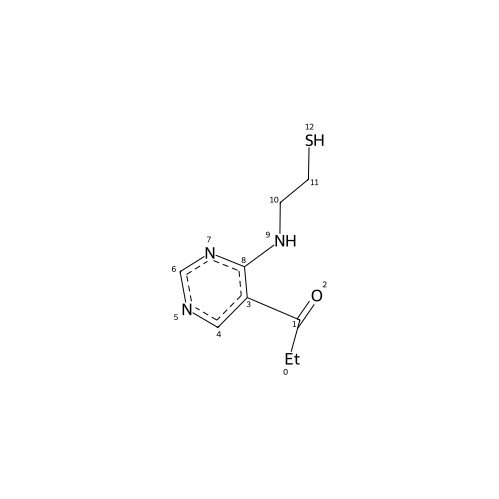 CCC(=O)c1cncnc1NCCS